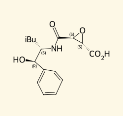 CCC(C)[C@H](NC(=O)[C@H]1O[C@@H]1C(=O)O)[C@H](O)c1ccccc1